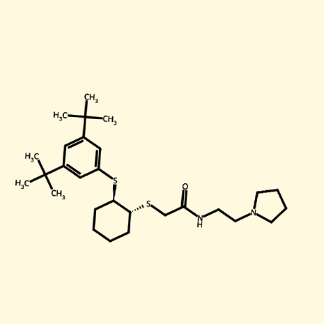 CC(C)(C)c1cc(S[C@@H]2CCCC[C@H]2SCC(=O)NCCN2CCCC2)cc(C(C)(C)C)c1